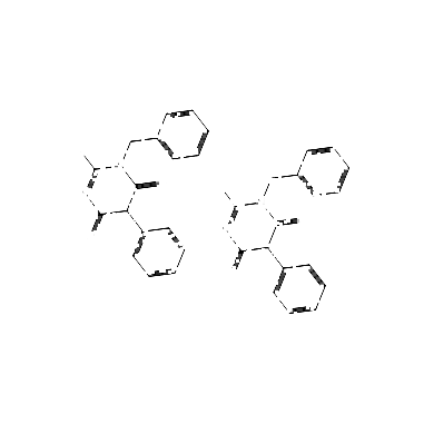 O=C1N=C([O-])N(Cc2ccccc2)C(=O)C1c1ccccc1.O=C1N=C([O-])N(Cc2ccccc2)C(=O)C1c1ccccc1.[Ca+2]